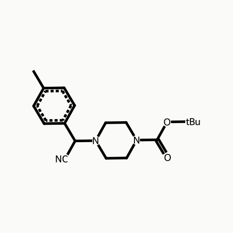 Cc1ccc(C(C#N)N2CCN(C(=O)OC(C)(C)C)CC2)cc1